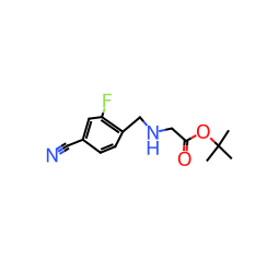 CC(C)(C)OC(=O)CNCc1ccc(C#N)cc1F